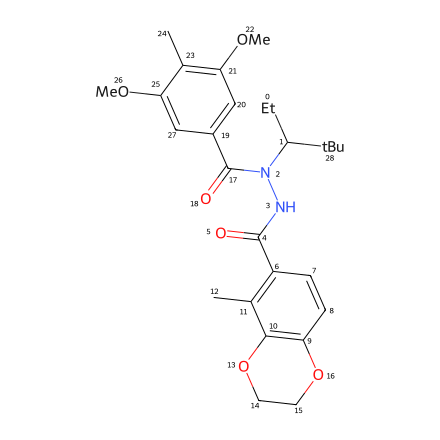 CCC(N(NC(=O)c1ccc2c(c1C)OCCO2)C(=O)c1cc(OC)c(C)c(OC)c1)C(C)(C)C